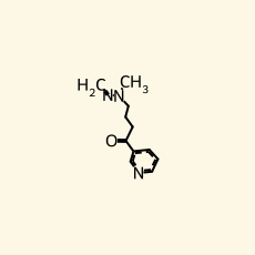 C=NN(C)CCCC(=O)c1cccnc1